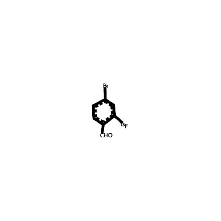 O=Cc1ccc(Br)cc1[18F]